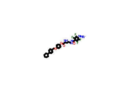 [N-]=[N+]=Nc1c(F)c(F)c(C(=O)NCCCC(N)C(=O)Oc2ccc(OCc3ccc(C4CCCCC4)cc3)cc2)c(F)c1F